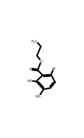 CCCOC(=O)c1c(Br)ccc(O)c1O